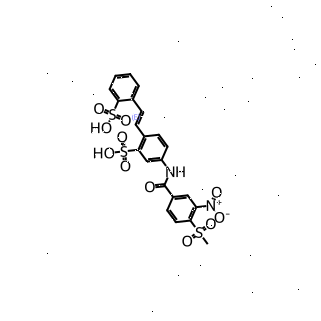 CS(=O)(=O)c1ccc(C(=O)Nc2ccc(/C=C/c3ccccc3S(=O)(=O)O)c(S(=O)(=O)O)c2)cc1[N+](=O)[O-]